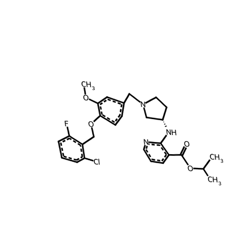 COc1cc(CN2CC[C@H](Nc3ncccc3C(=O)OC(C)C)C2)ccc1OCc1c(F)cccc1Cl